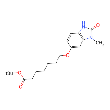 Cn1c(=O)[nH]c2ccc(OCCCCCCC(=O)OC(C)(C)C)cc21